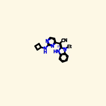 CCN1/C(=C(\C#N)c2ccnc(NC3CCC3)n2)Nc2ccccc21